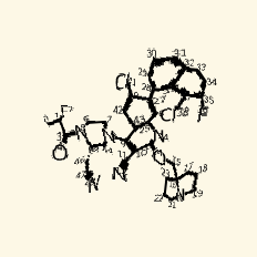 CC(F)C(=O)N1CCN(C2=C(C#N)C(OCC34CCCN3CCC4)=NC3C=C(c4cccc5ccc(F)c(Cl)c45)C(Cl)=CC23)C[C@@H]1CC#N